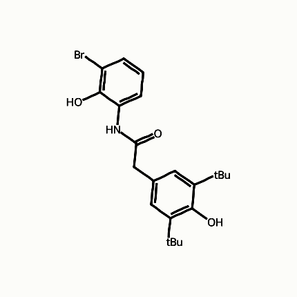 CC(C)(C)c1cc(CC(=O)Nc2cccc(Br)c2O)cc(C(C)(C)C)c1O